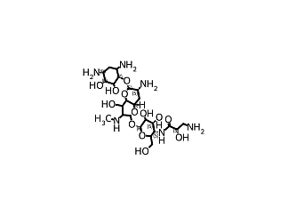 CNC1C(O[C@H]2OC(CO)[C@@H](NC(=O)[C@@H](O)CN)[C@H](O)C2O)O[C@H]2C[C@H](N)[C@@H](O[C@@H]3C(N)C[C@@H](N)[C@@H](O)C3O)OC2C1O